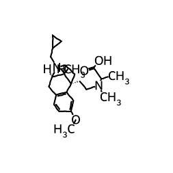 COc1ccc2c(c1)[C@]1(CCN(C)C(C)C(=O)O)CCN(CC3CC3)[C@H](C2)[C@@H]1C